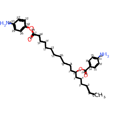 CCCCCCC(CCCCCCCCCCC(=O)Oc1ccc(N)cc1)OC(=O)c1ccc(N)cc1